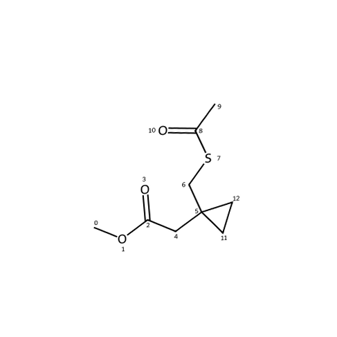 COC(=O)CC1(CSC(C)=O)CC1